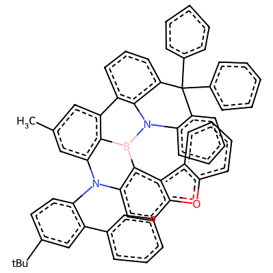 Cc1cc2c3c(c1)N(c1ccc(C(C)(C)C)cc1-c1ccccc1)c1ccc4oc5ccccc5c4c1B3N1c3ccccc3C(c3ccccc3)(c3ccccc3)c3cccc-2c31